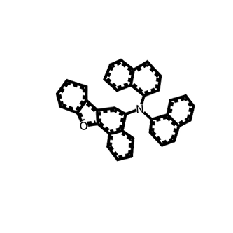 c1ccc2c(N(c3cccc4ccccc34)c3cc4c5ccccc5oc4c4ccccc34)cccc2c1